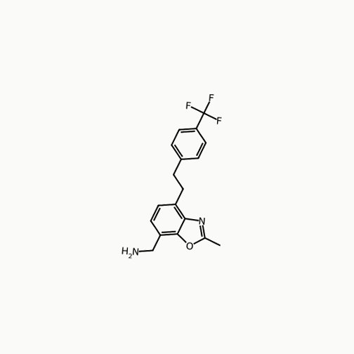 Cc1nc2c(CCc3ccc(C(F)(F)F)cc3)ccc(CN)c2o1